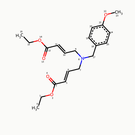 CCOC(=O)C=CCN(CC=CC(=O)OCC)Cc1ccc(OC)cc1